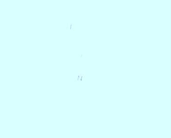 C/C=[C]/N1CCCCC1